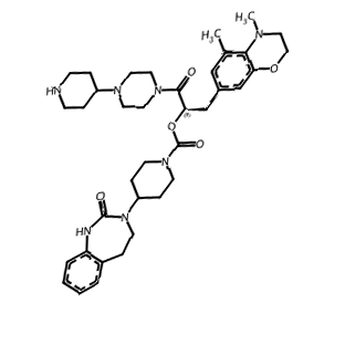 Cc1cc(C[C@@H](OC(=O)N2CCC(N3CCc4ccccc4NC3=O)CC2)C(=O)N2CCN(C3CCNCC3)CC2)cc2c1N(C)CCO2